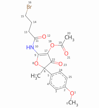 COc1ccc(C2(C)OC(NC(=O)CCCBr)=C(OC(C)=O)C2=O)cc1